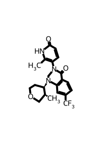 Cc1[nH]c(=O)ccc1N1CN([C@@H]2CCOC[C@@H]2C)c2cc(C(F)(F)F)ccc2C1=O